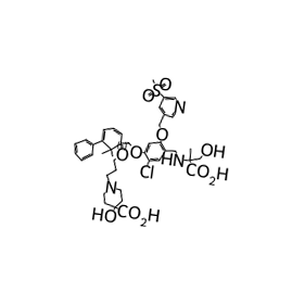 CC(CO)(NCc1cc(Cl)c(OC[C@]2(OCCCN3CCC(O)(C(=O)O)CC3)C=CC=C(c3ccccc3)C2(C)C)cc1OCc1cncc(S(C)(=O)=O)c1)C(=O)O